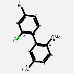 CCc1ccc(-c2cc(C)ccc2OC)c(Cl)c1